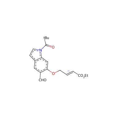 CCOC(=O)/C=C/COc1cc2c(ccn2C(=O)C(C)(C)C)cc1C=O